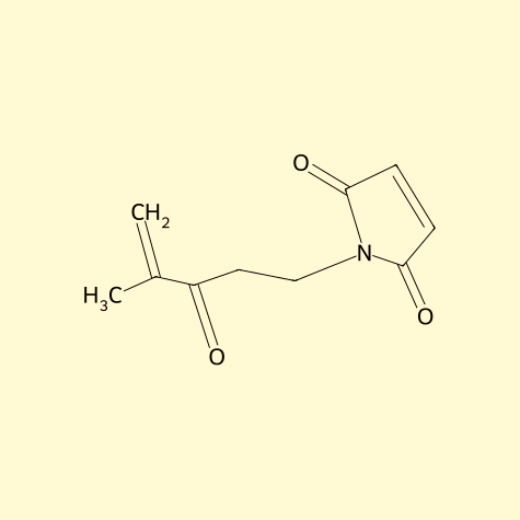 C=C(C)C(=O)CCN1C(=O)C=CC1=O